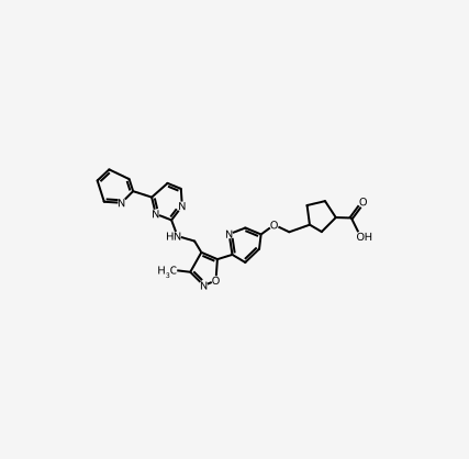 Cc1noc(-c2ccc(OCC3CCC(C(=O)O)C3)cn2)c1CNc1nccc(-c2ccccn2)n1